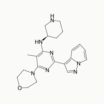 Cc1c(N[C@@H]2CCCNC2)nc(-c2cnn3ccccc23)nc1N1CCOCC1